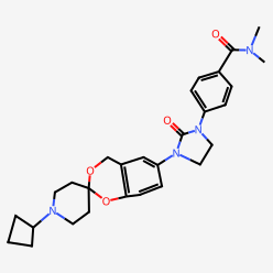 CN(C)C(=O)c1ccc(N2CCN(c3ccc4c(c3)COC3(CCN(C5CCC5)CC3)O4)C2=O)cc1